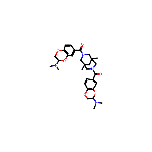 CN(C)C1COc2ccc(C(=O)N3CC4(C)CN(C(=O)c5ccc6c(c5)OC(N(C)C)CO6)CC(C)(C3)C4)cc2O1